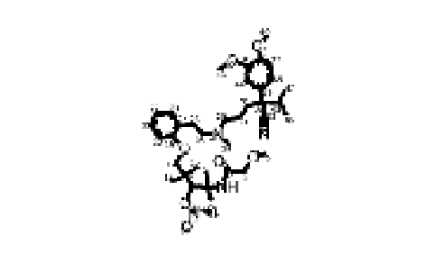 COCC(=O)NC(C)(C)C(O[N+](=O)[O-])C(C)(C)COc1ccccc1CCN(C)CCCC(C#N)(c1ccc(OC)c(OC)c1)C(C)C